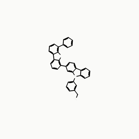 NCc1cccc(-n2c3ccccc3c3ccc(-c4cccc5c4sc4c(-c6ccccc6)cccc45)cc32)c1